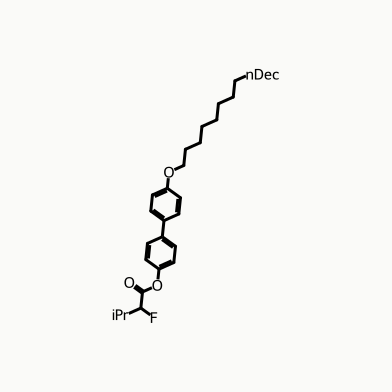 CCCCCCCCCCCCCCCCCCOc1ccc(-c2ccc(OC(=O)C(F)C(C)C)cc2)cc1